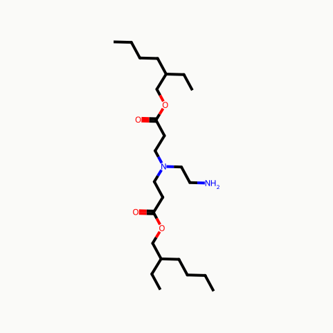 CCCCC(CC)COC(=O)CCN(CCN)CCC(=O)OCC(CC)CCCC